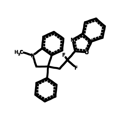 CN1CC(CC(F)(F)c2nc3ccccc3o2)(c2ccccc2)c2ccccc21